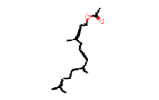 CC(=O)OCC=C(C)CCCC(C)CCC=C(C)C